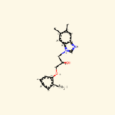 Cc1cc2ncn(CC(O)COc3ccccc3C(=O)O)c2cc1C